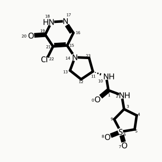 O=C(NC1CCS(=O)(=O)C1)N[C@@H]1CCN(c2cn[nH]c(=O)c2Cl)C1